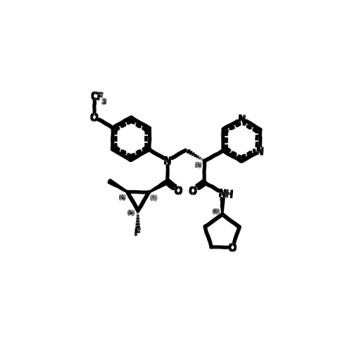 C[C@@H]1[C@@H](F)[C@@H]1C(=O)N(C[C@@H](C(=O)N[C@@H]1CCOC1)c1cncnc1)c1ccc(OC(F)(F)F)cc1